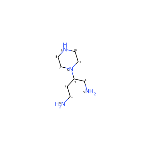 NCCC(CN)N1CCNCC1